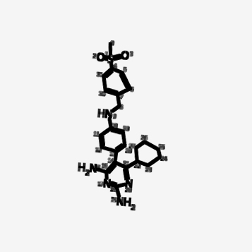 CS(=O)(=O)c1ccc(CNc2ccc(-c3c(N)nc(N)nc3C3CCCCC3)cc2)cc1